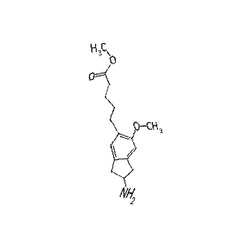 COC(=O)CCCCc1cc2c(cc1OC)CC(N)C2